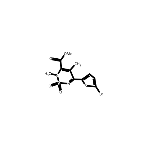 COC(=O)C1=C(C)C(c2ccc(Br)s2)=NS(=O)(=O)N1C